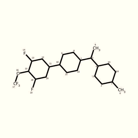 CC1CCC(C(C)C2CCC(C3CC(F)C(OC(F)(F)F)C(F)C3)CC2)CC1